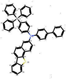 c1ccc(-c2ccc(N(c3ccc([Si](c4ccccc4)(c4ccccc4)c4ccccc4)cc3)c3ccc4c(ccc5c6ccccc6sc45)c3)cc2)cc1